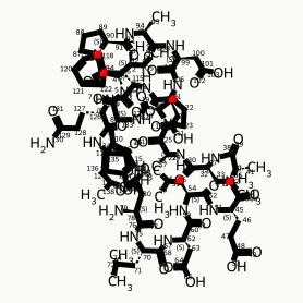 CC[C@H](C)[C@H](NC(=O)[C@H](Cc1ccc(O)cc1)NC(=O)[C@@H]1CCCN1C(=O)[C@H](C)NC(=O)[C@H](CC(C)C)NC(=O)[C@H](C)NC(=O)[C@H](CCC(=O)O)NC(=O)[C@H](CC(C)C)NC(=O)[C@H](CC(=O)O)NC(=O)[C@H](CC(C)C)NC(=O)[C@@H](N)CC(=O)O)C(=O)N1CCC[C@H]1C(=O)N[C@@H](C)C(=O)N[C@@H](CC(=O)O)C(=O)N[C@@H](CC(=O)O)C(=O)N[C@@H](Cc1ccccc1)C(=O)N[C@@H](CCC(N)=O)C(=O)N[C@@H](CC(C)C)C(=O)O